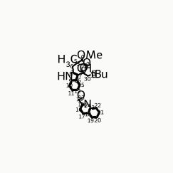 COC(=O)C(C)(C)Cc1[nH]c2ccc(OCc3ccc4ccccc4n3)cc2c1C(=O)CC(C)(C)C